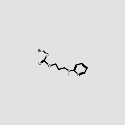 CC(C)(C)OC(=O)OCCCNc1ccccn1